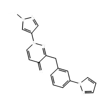 Cn1cc(-n2ccc(=O)c(Cc3cccc(-n4cccn4)c3)n2)cn1